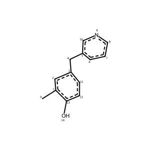 Cc1cc(Cc2cccnc2)ccc1O